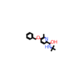 Cc1nc(C(O)NC(C)(C)C)ccc1OCc1ccccc1